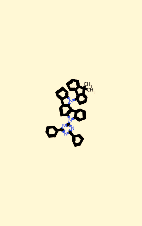 CC1(C)c2ccccc2-c2c(-n3c4ccccc4c4ccc5c(c6ccccc6n5-c5nc(-c6ccccc6)nc(-c6ccccc6)n5)c43)cccc21